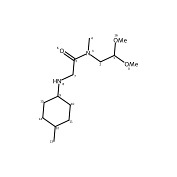 COC(CN(C)C(=O)CNC1CCC(C)CC1)OC